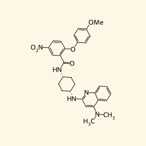 COc1ccc(Oc2ccc([N+](=O)[O-])cc2C(=O)N[C@H]2CC[C@@H](Nc3cc(N(C)C)c4ccccc4n3)CC2)cc1